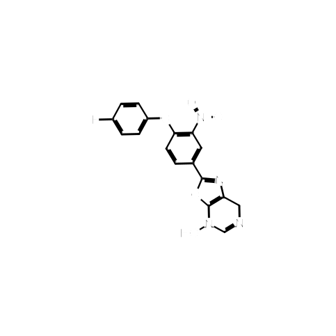 O=[N+]([O-])c1cc(-c2nc3c(o2)N(O)C=NC3)ccc1Oc1ccc(F)cc1